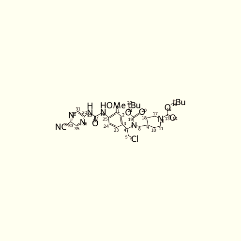 COc1cc(C(CCl)N(CC2CCN(C(=O)OC(C)(C)C)CC2)C(=O)OC(C)(C)C)ccc1NC(=O)Nc1cnc(C#N)cn1